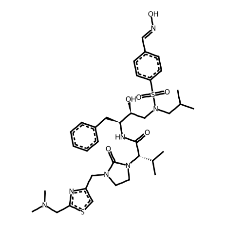 CC(C)CN(C[C@H](O)[C@H](Cc1ccccc1)NC(=O)[C@H](C(C)C)N1CCN(Cc2csc(CN(C)C)n2)C1=O)S(=O)(=O)c1ccc(C=NO)cc1